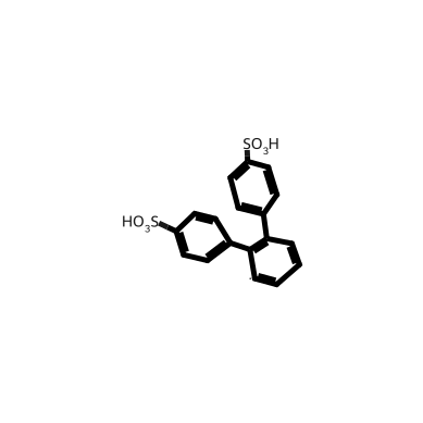 O=S(=O)(O)c1ccc(-c2[c]cccc2-c2ccc(S(=O)(=O)O)cc2)cc1